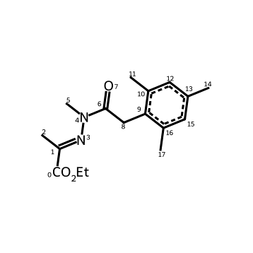 CCOC(=O)C(C)=NN(C)C(=O)Cc1c(C)cc(C)cc1C